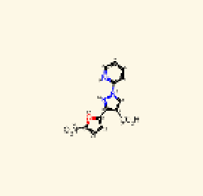 O=C(O)c1cn(-c2ccccn2)nc1-c1ccc([N+](=O)[O-])o1